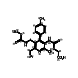 Cc1ccc(-c2c(CNC(=O)OC(C)(C)C)c(CC(C)C)nc(C)c2NC(=O)OCC(=O)O)cc1